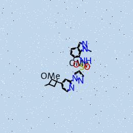 COc1ccc2cnn(C)c2c1NS(=O)(=O)c1cnn(-c2cc(C3(OC)CC(C)C3)ccn2)c1